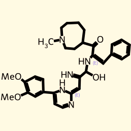 COc1ccc(C2=CC=N/C(=C/C(=N)C(O)N/C(=C/c3ccccc3)C(=O)C3CCCCN(C)CC3)N2)cc1OC